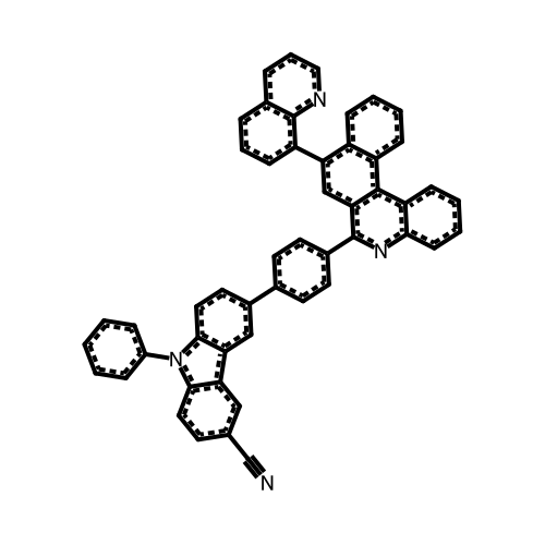 N#Cc1ccc2c(c1)c1cc(-c3ccc(-c4nc5ccccc5c5c4cc(-c4cccc6cccnc46)c4ccccc45)cc3)ccc1n2-c1ccccc1